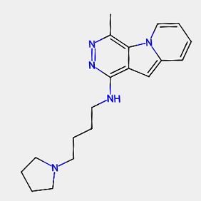 Cc1nnc(NCCCCN2CCCC2)c2cc3ccccn3c12